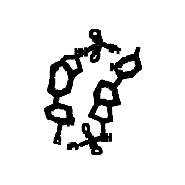 CC(C)S(=O)(=O)NC1Cc2ccc(-c3ccc(Cl)nc3)cc2C1.Cc1ccc(-c2ccc3c(c2)CC(NS(=O)(=O)C(C)C)C3)nc1